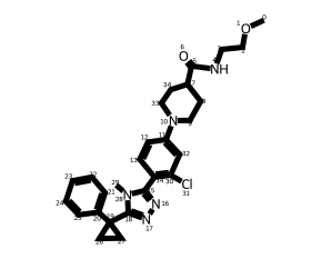 COCCNC(=O)C1CCN(c2ccc(-c3nnc(C4(c5ccccc5)CC4)n3C)c(Cl)c2)CC1